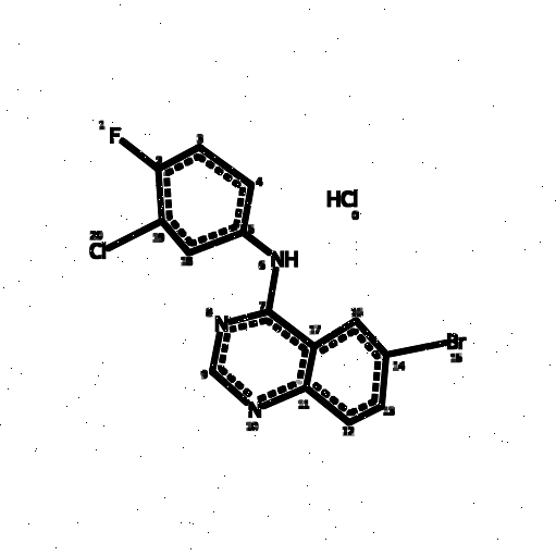 Cl.Fc1ccc(Nc2ncnc3ccc(Br)cc23)cc1Cl